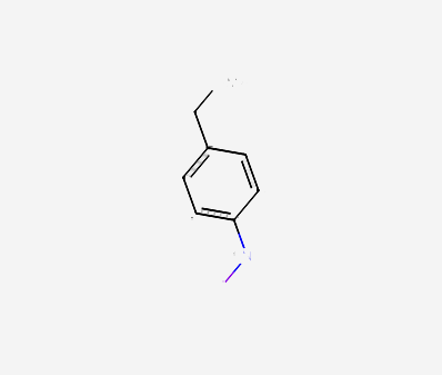 COCc1ccc(NI)cc1